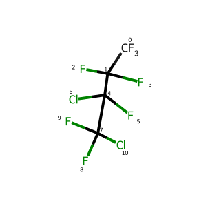 FC(F)(F)C(F)(F)C(F)(Cl)C(F)(F)Cl